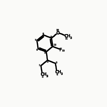 CCC(CC)c1cccc(OC)c1F